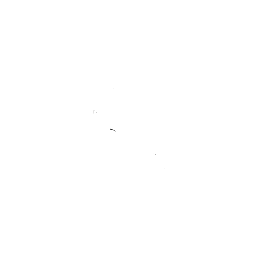 CC(C)NCC[C@H]1CC[C@H](N(C)CS)CC1